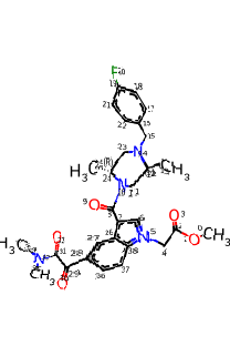 COC(=O)Cn1cc(C(=O)N2C[C@H](C)N(Cc3ccc(F)cc3)C[C@H]2C)c2cc(C(=O)C(=O)N(C)C)ccc21